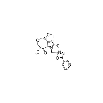 CN1COCN(C)c2nc(Cl)n(Cc3nnc(-c4cccnc4)o3)c2C1=O